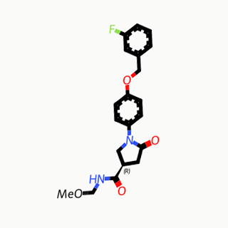 COCNC(=O)[C@@H]1CC(=O)N(c2ccc(OCc3cccc(F)c3)cc2)C1